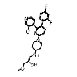 COC[C@@H](O)CNC1CCN(c2cnc(-c3ccc(F)cc3F)c(-c3ccncc3Cl)n2)CC1